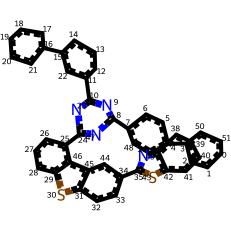 c1ccc(-c2ccc(-c3nc(-c4cccc(-c5ccccc5)c4)nc(-c4cccc5sc6ccc(-c7nc8ccccc8s7)cc6c45)n3)cc2)cc1